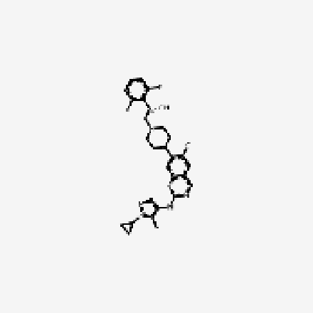 Cc1c(Nc2ncc3cc(Cl)c(C4CCN(C[C@@H](O)c5c(F)cccc5F)CC4)cc3n2)cnn1C1CC1